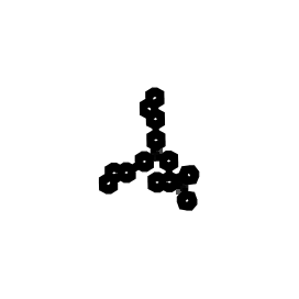 c1ccc(-n2c3ccccc3c3c(-c4cccc(N(c5ccc(-c6ccc7c(ccc8ccccc87)c6)cc5)c5ccc(-c6ccc7c(ccc8ccccc87)c6)cc5)c4)c4ccccc4cc32)cc1